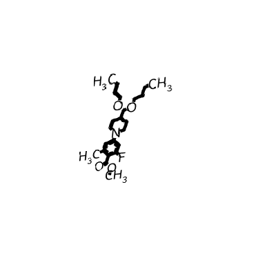 CCCCOC(OCCCC)C1CCN(c2cc(C)c(C(=O)OC)c(F)c2)CC1